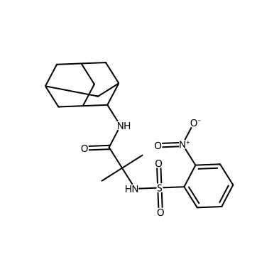 CC(C)(NS(=O)(=O)c1ccccc1[N+](=O)[O-])C(=O)NC1C2CC3CC(C2)CC1C3